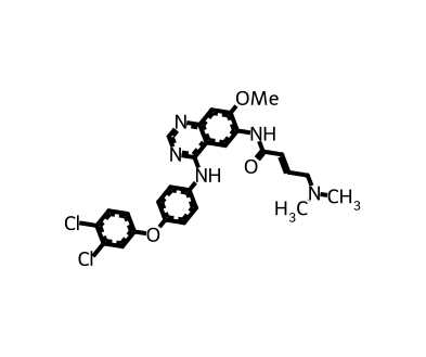 COc1cc2ncnc(Nc3ccc(Oc4ccc(Cl)c(Cl)c4)cc3)c2cc1NC(=O)/C=C/CN(C)C